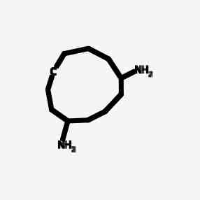 NC1CCCCCCC(N)CCC1